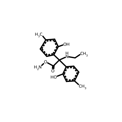 CCNC(C(=O)ON)(c1ccc(C)cc1O)c1ccc(C)cc1O